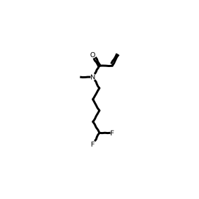 C=CC(=O)N(C)CCCCC(F)F